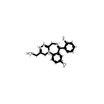 NCC1=NN=C2CN=C(c3ccccc3F)c3cc(Cl)ccc3N2C1